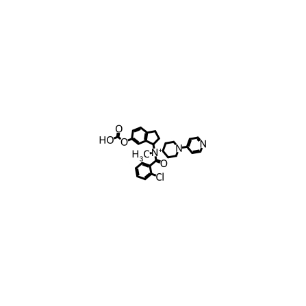 C[N+](C(=O)c1ccccc1Cl)(C1CCN(c2ccncc2)CC1)C1CCc2ccc(OC(=O)O)cc21